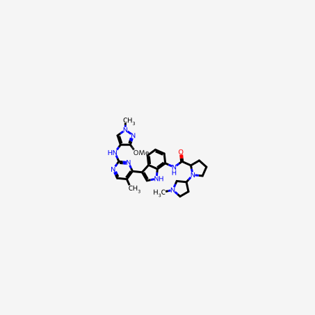 COc1nn(C)cc1Nc1ncc(C)c(-c2c[nH]c3c(NC(=O)C4CCCN4C4CCN(C)C4)cccc23)n1